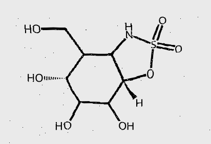 O=S1(=O)NC2C(CO)[C@@H](O)C(O)C(O)[C@H]2O1